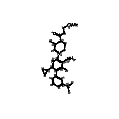 COCCC(=O)N1CCN(c2nc(C3CC3)c(-c3cccc(N(C)C)c3)c(C)c2N)C[C@H]1C